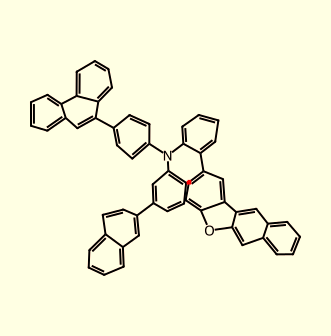 c1cc(-c2ccc3ccccc3c2)cc(N(c2ccc(-c3cc4ccccc4c4ccccc34)cc2)c2ccccc2-c2ccc3oc4cc5ccccc5cc4c3c2)c1